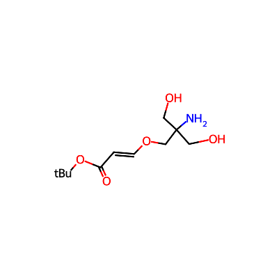 CC(C)(C)OC(=O)/C=C/OCC(N)(CO)CO